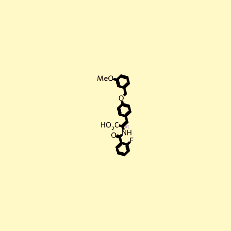 COc1cccc(COc2ccc(/C=C(/NC(=O)c3ccccc3F)C(=O)O)cc2)c1